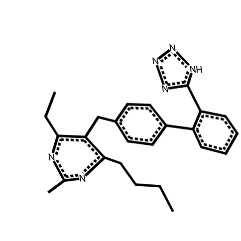 CCCCc1nc(C)nc(CC)c1Cc1ccc(-c2ccccc2-c2nnn[nH]2)cc1